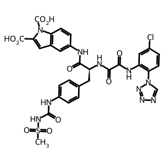 CS(=O)(=O)NC(=O)Nc1ccc(C[C@H](NC(=O)C(=O)Nc2cc(Cl)ccc2-n2cnnn2)C(=O)Nc2ccc3c(c2)cc(C(=O)O)n3C(=O)O)cc1